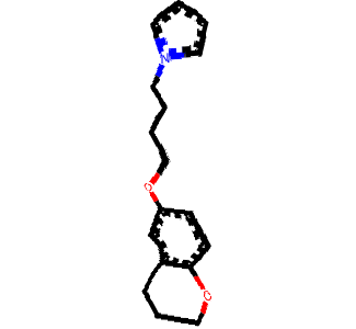 c1ccn(CCCCOc2ccc3c(c2)CCCO3)c1